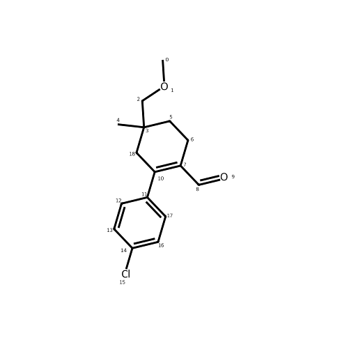 COCC1(C)CCC(C=O)=C(c2ccc(Cl)cc2)C1